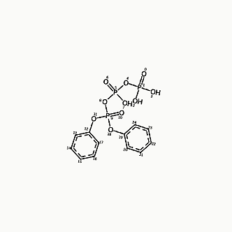 O=P(O)(O)OP(=O)(O)OP(=O)(Oc1ccccc1)Oc1ccccc1